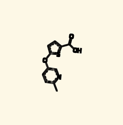 Cc1ccc(Oc2ccc(C(=O)O)s2)cn1